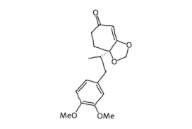 COc1ccc(CC(C)[C@]23CCC(=O)C=C2OCO3)cc1OC